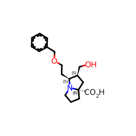 O=C(O)[C@]12CCCN1[C@@H](CCOCc1ccccc1)[C@@H](CO)C2